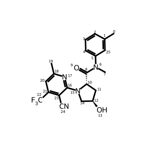 Cc1cccc(N(C)C(=O)[C@@H]2C[C@@H](O)CN2c2nc(C)cc(C(F)(F)F)c2C#N)c1